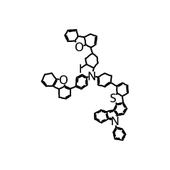 IC1CC(C2C=CCC3C4C=CC=CC4OC23)CCC1N(C1=CC=C(C2=CC=CC3c4ccc5c(c4SC23)c2ccccc2n5-c2ccccc2)CC1)c1ccc(C2=C3OC4=C(C=CCC4)C3CC=C2)cc1